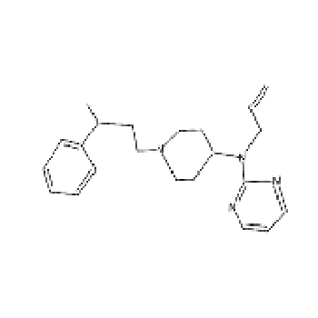 C=CCN(c1ncccn1)C1CCN(CCC(C)c2ccccc2)CC1